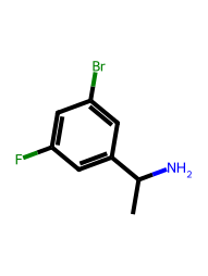 CC(N)c1cc(F)cc(Br)c1